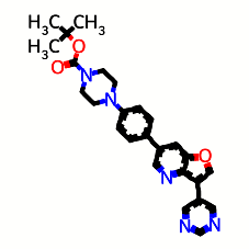 CC(C)(C)OC(=O)N1CCN(c2ccc(-c3cnc4c(-c5cncnc5)coc4c3)cc2)CC1